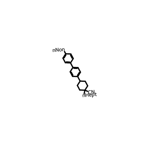 CCCCCCCCCc1ccc(-c2ccc(C3CCC(C#N)(CCCCCCC)CC3)cc2)cc1